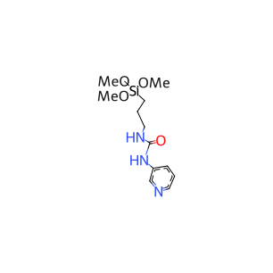 CO[Si](CCCNC(=O)Nc1cccnc1)(OC)OC